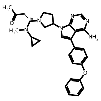 CC(=O)C[C@H](N1CCC(n2cc(-c3ccc(Oc4ccccc4)cc3)c3c(N)ncnc32)C1)N(C)C1CC1